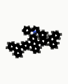 C1=CCC(C2CC=C(c3ccccc3)N2c2ccc3c(-c4ccc(-c5cc6ccccc6c6ccccc56)cc4)c4ccccc4c(C4=CC=C(c5cc6ccccc6c6ccccc56)CC4)c3c2)C=C1